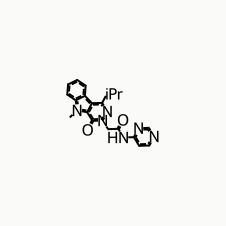 CC(C)c1nn(CC(=O)Nc2ccncn2)c(=O)c2c1c1ccccc1n2C